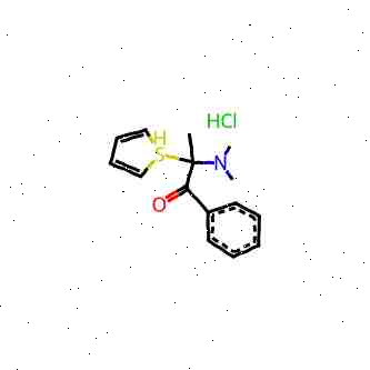 CN(C)C(C)(C(=O)c1ccccc1)[SH]1C=CC=C1.Cl